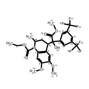 CCOC(=O)N1c2cc(OC)c(OC)cc2C(C(O)(C(=O)OC)c2cc(C(F)(F)F)cc(C(F)(F)F)c2)CC1C